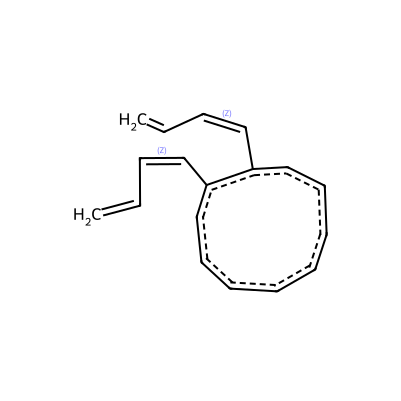 C=C/C=C\c1ccccccccc1/C=C\C=C